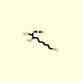 [CH2]C(N=C=O)C(O)CCCCCCC